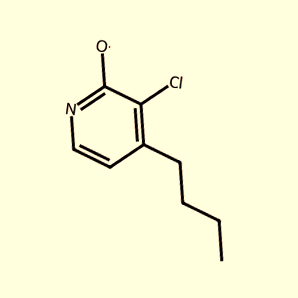 CCCCc1ccnc([O])c1Cl